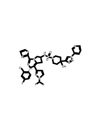 O=S(=O)(NC1CC2=C(c3ccn(C(F)F)n3)[C@H](c3ccc(F)cc3Cl)N=C(c3nccs3)N2C1)N1CCC(O)(c2cn(-c3cccnc3)nn2)CC1